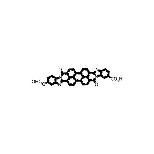 O=COc1ccc2c(c1)nc1c3ccc4c5ccc6c(=O)n7c8cc(C(=O)O)ccc8nc7c7ccc(c8ccc(c(=O)n21)c3c48)c5c67